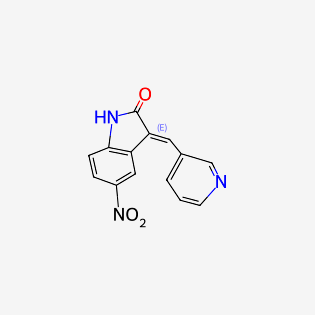 O=C1Nc2ccc([N+](=O)[O-])cc2/C1=C\c1cccnc1